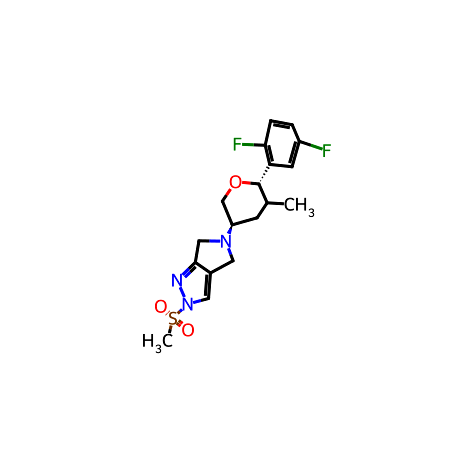 CC1C[C@@H](N2Cc3cn(S(C)(=O)=O)nc3C2)CO[C@@H]1c1cc(F)ccc1F